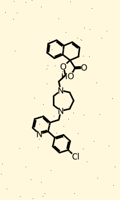 O=C(O)C1(OCCN2CCCN(Cc3cccnc3-c3ccc(Cl)cc3)CC2)CC=Cc2ccccc21